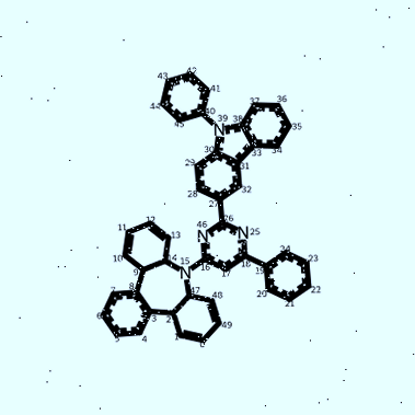 C1=CC2c3ccccc3C3C=CC=CC3N(c3cc(-c4ccccc4)nc(-c4ccc5c(c4)c4ccccc4n5-c4ccccc4)n3)C2C=C1